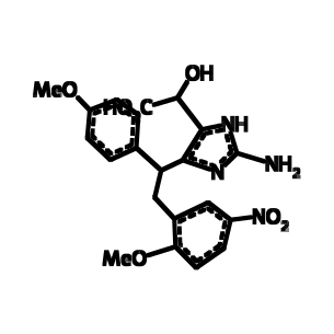 COc1ccc(C(Cc2cc([N+](=O)[O-])ccc2OC)c2nc(N)[nH]c2C(O)C(=O)O)cc1